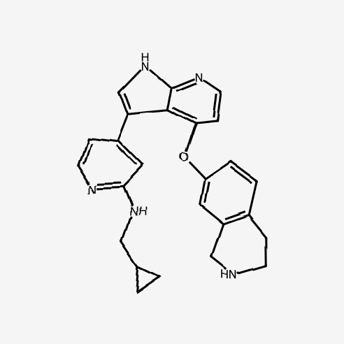 c1cc(-c2c[nH]c3nccc(Oc4ccc5c(c4)CNCC5)c23)cc(NCC2CC2)n1